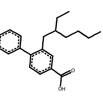 CCCCC(CC)Cc1cc(C(=O)O)ccc1-c1ccccc1